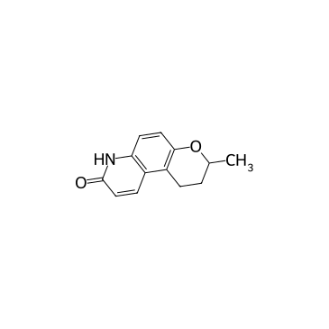 CC1CCc2c(ccc3[nH]c(=O)ccc23)O1